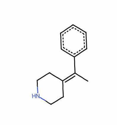 CC(=C1CCNCC1)c1ccccc1